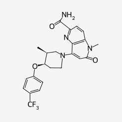 C[C@H]1CN(c2cc(=O)n(C)c3ccc(C(N)=O)nc23)CC[C@H]1Oc1ccc(C(F)(F)F)cc1